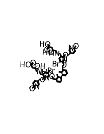 COc1ccc(COc2nc(OCc3cccc(-c4cccc(COc5nc(OCc6ccc(OC)nc6)c(CNC[C@@H](O)CC(=O)O)cc5Br)c4C)c3C)c(Br)cc2CNC[C@@H](O)CC(=O)O)cn1